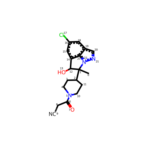 CC1(C2CCN(C(=O)CC#N)CC2)C(O)c2cc(Cl)cc3cnn1c23